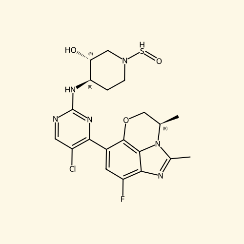 Cc1nc2c(F)cc(-c3nc(N[C@@H]4CCN([SH]=O)C[C@H]4O)ncc3Cl)c3c2n1[C@H](C)CO3